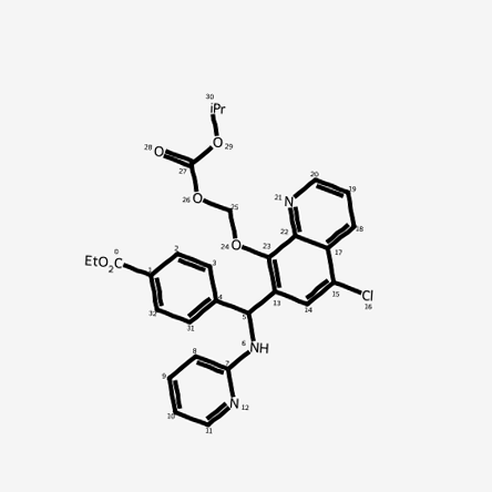 CCOC(=O)c1ccc(C(Nc2ccccn2)c2cc(Cl)c3cccnc3c2OCOC(=O)OC(C)C)cc1